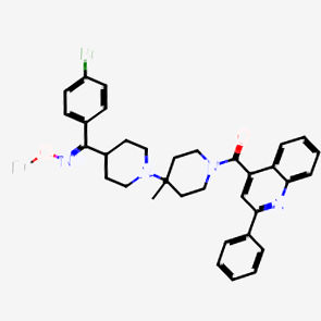 CCO/N=C(\c1ccc(Br)cc1)C1CCN(C2(C)CCN(C(=O)c3cc(-c4ccccc4)nc4ccccc34)CC2)CC1